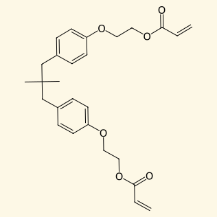 C=CC(=O)OCCOc1ccc(CC(C)(C)Cc2ccc(OCCOC(=O)C=C)cc2)cc1